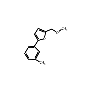 COCc1ccc(-c2cccc(C)c2)o1